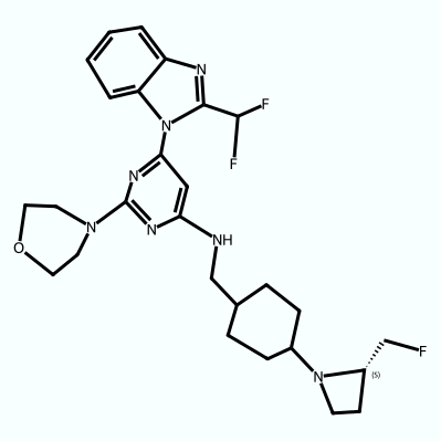 FC[C@@H]1CCN1C1CCC(CNc2cc(-n3c(C(F)F)nc4ccccc43)nc(N3CCOCC3)n2)CC1